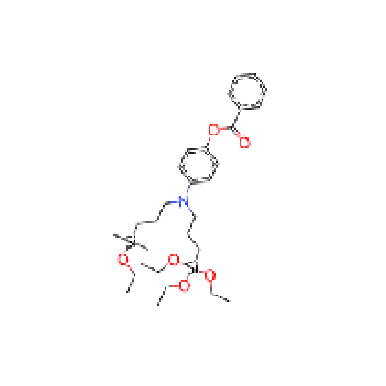 CCO[Si](C)(C)CCCN(CCC[Si](OCC)(OCC)OCC)c1ccc(OC(=O)c2ccccc2)cc1